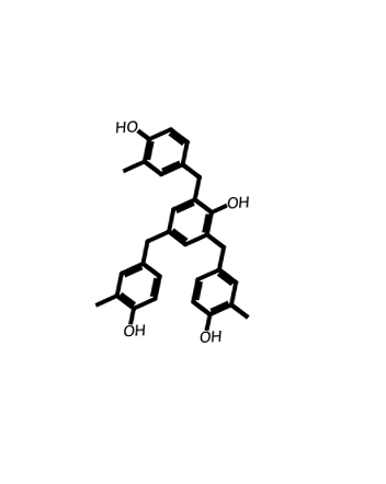 Cc1cc(Cc2cc(Cc3ccc(O)c(C)c3)c(O)c(Cc3ccc(O)c(C)c3)c2)ccc1O